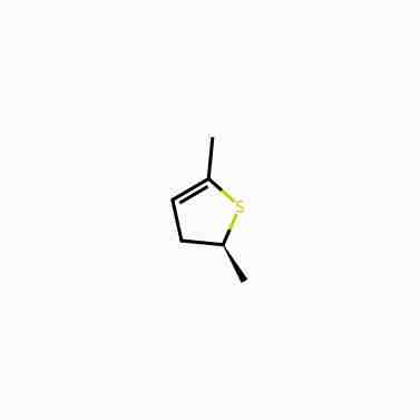 CC1=CC[C@H](C)S1